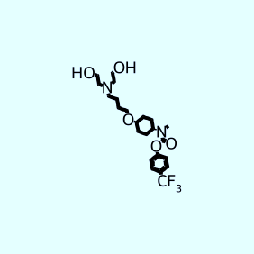 CN(C(=O)Oc1ccc(C(F)(F)F)cc1)[C@H]1CC[C@H](OCCCCN(CCO)CCO)CC1